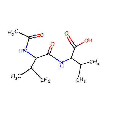 CC(=O)NC(C(=O)NC(C(=O)O)C(C)C)C(C)C